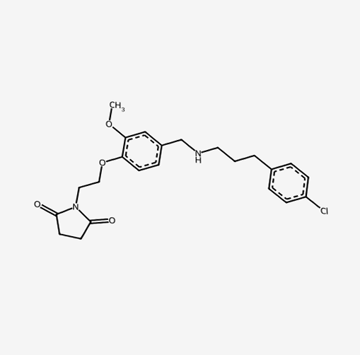 COc1cc(CNCCCc2ccc(Cl)cc2)ccc1OCCN1C(=O)CCC1=O